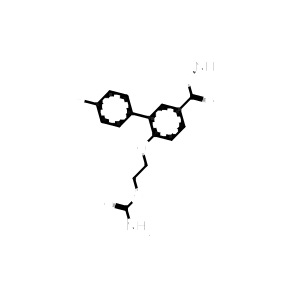 NOC(=O)c1ccc(OCCOC(N)=O)c(-c2ccc(F)cc2)c1